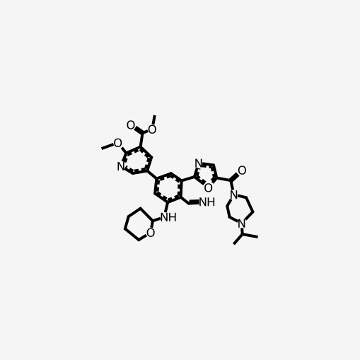 COC(=O)c1cc(-c2cc(NC3CCCCO3)c(C=N)c(-c3ncc(C(=O)N4CCN(C(C)C)CC4)o3)c2)cnc1OC